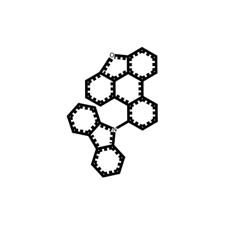 c1cc(-n2c3ccccc3c3ccccc32)c2c(c1)c1cccc3oc4cccc2c4c31